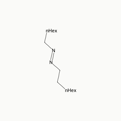 CCCCCCCCN=NCCCCCCC